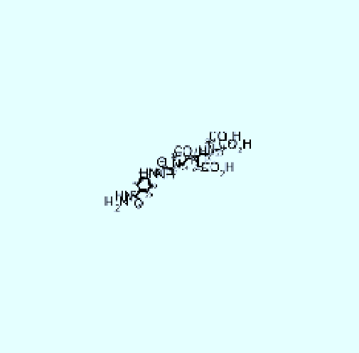 NNC(=O)c1ccc(NNC(=O)CN(CCN(CCN(CC(=O)O)CC(=O)O)CC(=O)O)CC(=O)O)cc1